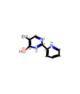 CCc1cnc(-c2ccccn2)nc1O